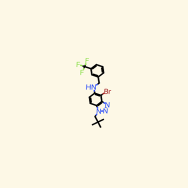 CC(C)(C)Cn1nnc2c(Br)c(NCc3cccc(C(F)(F)F)c3)ccc21